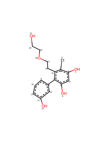 CCc1c(O)cc(O)c(-c2cccc(O)c2)c1CCOCCO